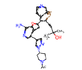 CC(=O)N1CCC(n2cc(-c3cnc(N)c4oc(-c5c(C#CC(C)(C)O)sc6cnccc56)cc34)cn2)CC1